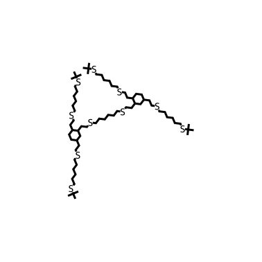 CC(C)(C)SCCCCCCSCCC1CCC(CCSCCCCCCSC(C)(C)C)C(CCSCCCCCCSCCC2CC(CCSCCCCCCSC(C)(C)C)CCC2CCSCCCCCCSC(C)(C)C)C1